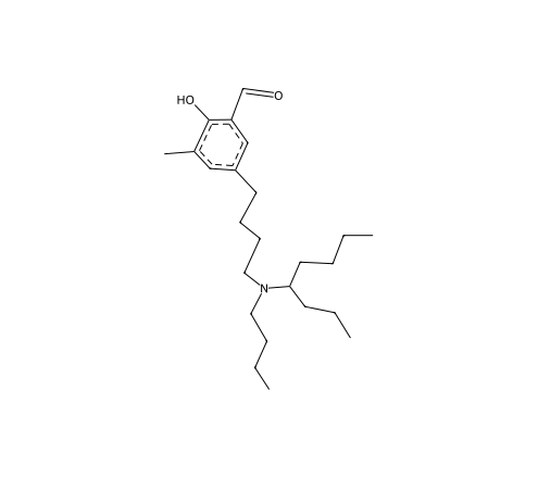 CCCCC(CCC)N(CCCC)CCCCc1cc(C)c(O)c(C=O)c1